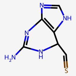 NC1=Nc2nc[nH]c2C(C=S)N1